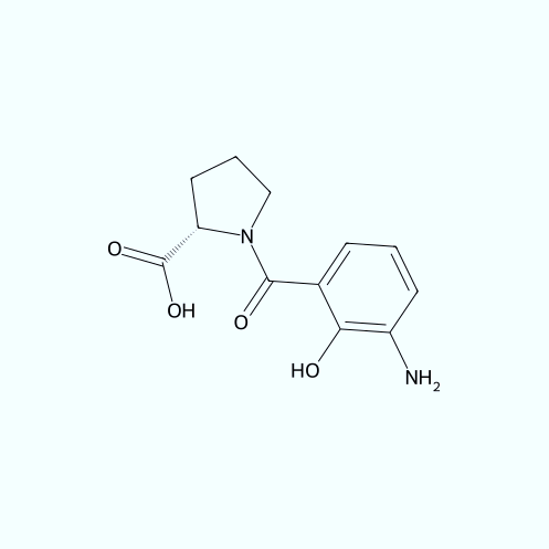 Nc1cccc(C(=O)N2CCC[C@H]2C(=O)O)c1O